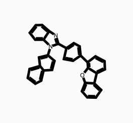 c1ccc2cc(-n3c(-c4ccc(-c5cccc6c5oc5ccccc56)cc4)nc4ccccc43)ccc2c1